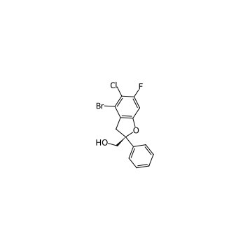 OC[C@@]1(c2ccccc2)Cc2c(cc(F)c(Cl)c2Br)O1